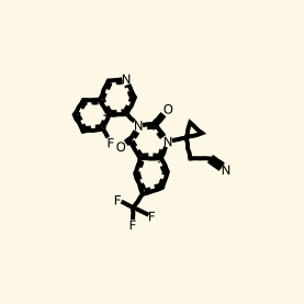 N#CCC1(n2c(=O)n(-c3cncc4cccc(F)c34)c(=O)c3cc(C(F)(F)F)ccc32)CC1